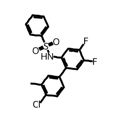 Cc1cc(-c2cc(F)c(F)cc2NS(=O)(=O)c2ccccc2)ccc1Cl